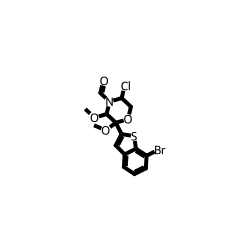 COC1N(C=O)C(Cl)COC1(OC)c1cc2cccc(Br)c2s1